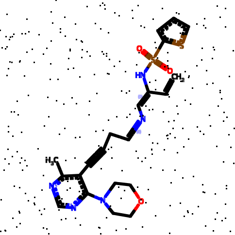 C=C/C(=C\N=C/CC#Cc1c(C)ncnc1N1CCOCC1)NS(=O)(=O)c1cccs1